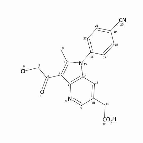 Cc1c(C(=O)CCl)c2ncc(CC(=O)O)cc2n1-c1ccc(C#N)cc1